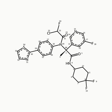 C[C@](C(=O)NC1CCC(F)(F)CC1)(c1cncc(F)c1)N(C(=O)C(F)Cl)c1ccc(-c2nccs2)cc1